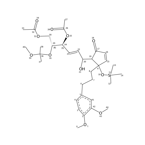 COc1ccc(CCCC2(O[Si](C)(C)C)C=CC(=O)C2C(O)C=C[C@H](OC(C)=O)[C@@H](COC(C)=O)OC(C)(C)OC)cc1OC